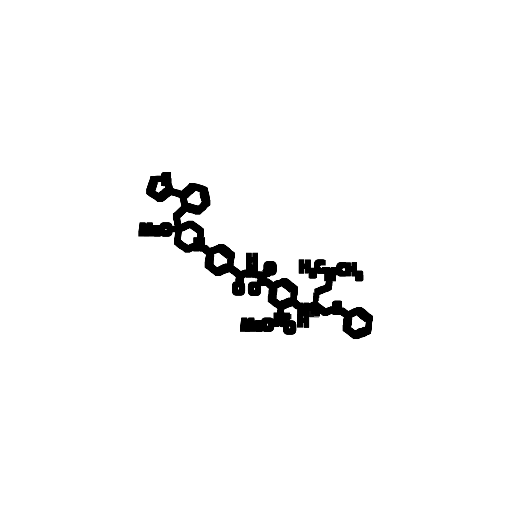 CO[N+](=O)c1cc(S(=O)(=O)NC(=O)c2ccc(N3CCC(Cc4ccccc4-c4cccs4)(OC)CC3)cc2)ccc1N[C@H](CCN(C)C)CSc1ccccc1